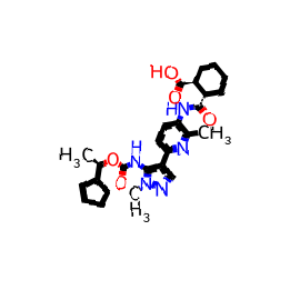 Cc1nc(-c2cnn(C)c2NC(=O)O[C@H](C)C2CCCC2)ccc1NC(=O)[C@H]1CCCC[C@@H]1C(=O)O